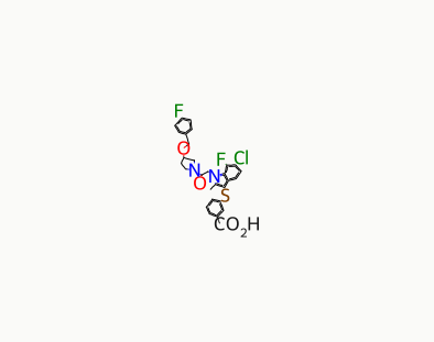 Cc1c(Sc2cccc(C(=O)O)c2)c2ccc(Cl)c(F)c2n1CC(=O)N1CCC(OCc2ccc(F)cc2)C1